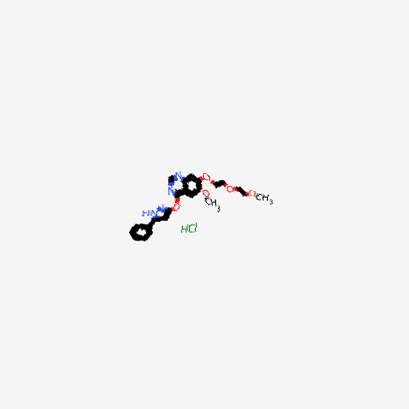 COCCOCCOc1cc2ncnc(Oc3cc(-c4ccccc4)[nH]n3)c2cc1OC.Cl